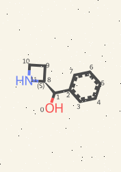 OC(c1ccccc1)[C@@H]1CCN1